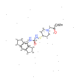 COC(=O)CN1CCC(SNC(=O)Nc2c3c(cc4c2CCC4)CCC3)CC1